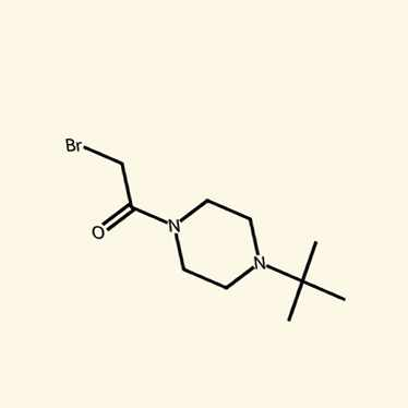 CC(C)(C)N1CCN(C(=O)CBr)CC1